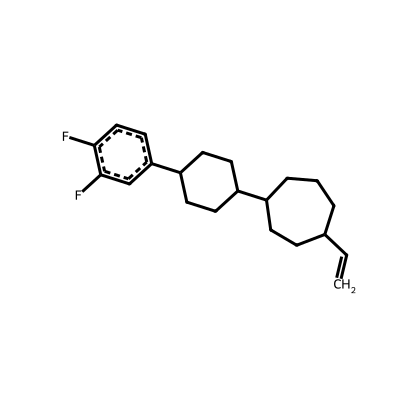 C=CC1CCCC(C2CCC(c3ccc(F)c(F)c3)CC2)CC1